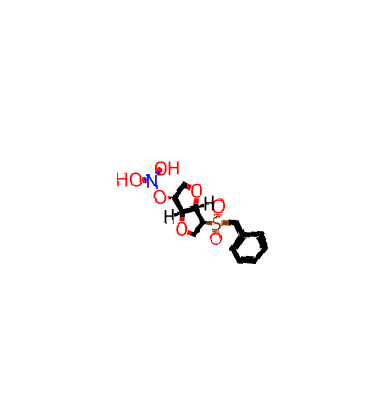 O=S(=O)(Cc1ccccc1)[C@H]1CO[C@H]2[C@@H]1OC[C@H]2ON(O)O